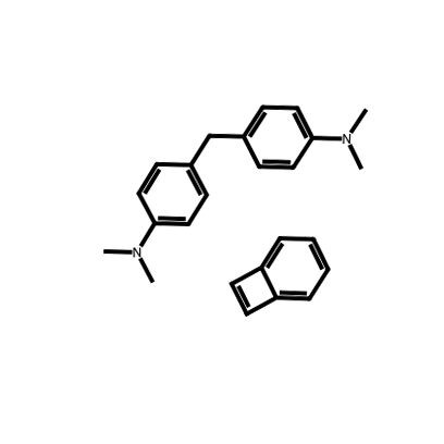 C1=Cc2ccccc21.CN(C)c1ccc(Cc2ccc(N(C)C)cc2)cc1